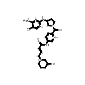 COc1nc(NC2CCN(C(=O)c3ccc(NC(=O)/C=C/CN4CCCC(F)C4)cn3)C2)ncc1Cl